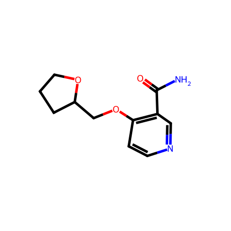 NC(=O)c1cnccc1OCC1CCCO1